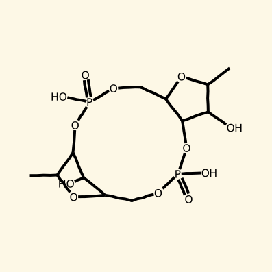 CC1OC2COP(=O)(O)OC3C(C)OC(COP(=O)(O)OC2C1O)C3O